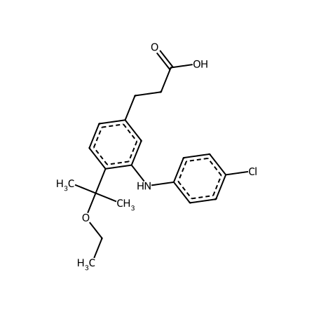 CCOC(C)(C)c1ccc(CCC(=O)O)cc1Nc1ccc(Cl)cc1